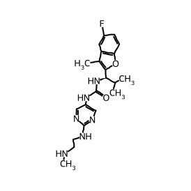 CNCCNc1ncc(NC(=O)N[C@@H](c2oc3ccc(F)cc3c2C)C(C)C)cn1